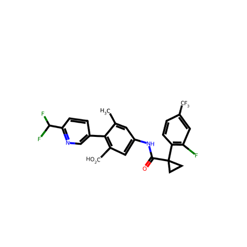 Cc1cc(NC(=O)C2(c3ccc(C(F)(F)F)cc3F)CC2)cc(C(=O)O)c1-c1ccc(C(F)F)nc1